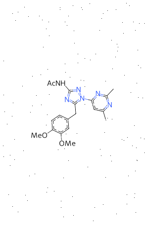 COc1ccc(Cc2nc(NC(C)=O)nn2-c2cc(C)nc(C)n2)cc1OC